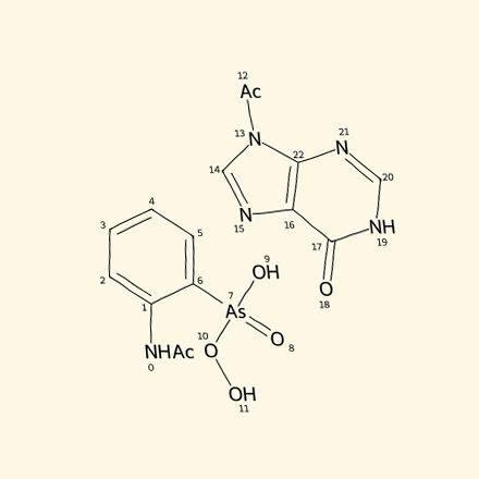 CC(=O)Nc1ccccc1[As](=O)(O)OO.CC(=O)n1cnc2c(=O)[nH]cnc21